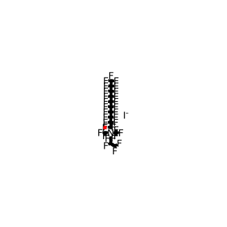 FC(F)=C(F)C(F)(F)[N+](C(F)(F)F)(C(F)(F)F)C(F)(F)C(F)(F)C(F)(F)C(F)(F)C(F)(F)C(F)(F)C(F)(F)C(F)(F)C(F)(F)C(F)(F)F.[I-]